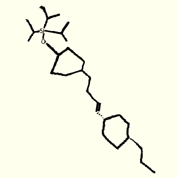 CCC[C@H]1CC[C@H](C=CCCC2CCC(O[Si](C(C)C)(C(C)C)C(C)C)CC2)CC1